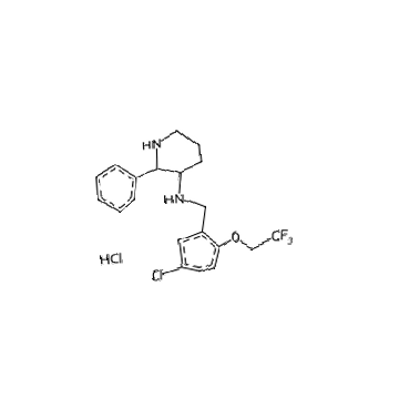 Cl.FC(F)(F)COc1ccc(Cl)cc1CNC1CCCNC1c1ccccc1